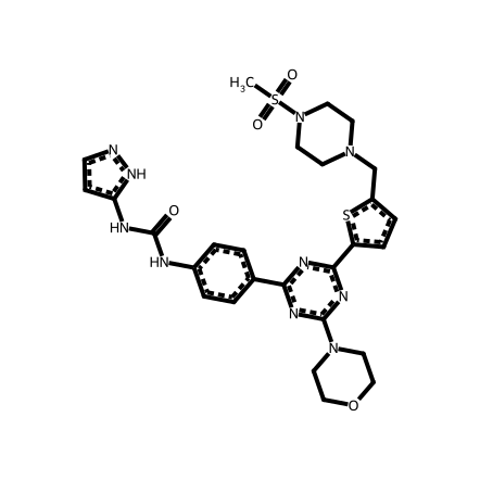 CS(=O)(=O)N1CCN(Cc2ccc(-c3nc(-c4ccc(NC(=O)Nc5ccn[nH]5)cc4)nc(N4CCOCC4)n3)s2)CC1